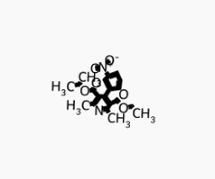 CCOC(=O)c1c(C)nc(C)c(C(=O)OC(C)C)c1-c1cccc([N+](=O)[O-])c1